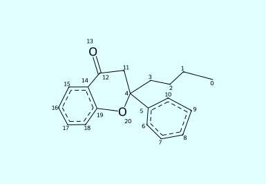 CCCCC1(c2ccccc2)CC(=O)c2ccccc2O1